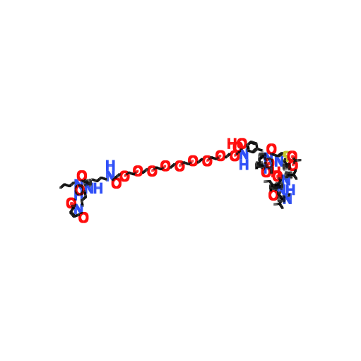 CCCCNC(=O)[C@H](CCCCNC(=O)COCCOCCOCCOCCOCCOCCOCCOCCOC(=O)Nc1cc(C[C@@H](C[C@H](C)C(=O)O)NC(=O)c2csc([C@@H](C[C@H](C(C)C)N(C)C(=O)[C@@H](NC(=O)[C@H](C(C)C)N(C)C)[C@@H](C)CC)OC(C)=O)n2)ccc1O)NC(=O)CCCN1C(=O)C=CC1=O